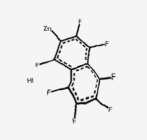 Fc1c(F)c(F)c2c(F)[c]([Zn])c(F)c(F)c2c1F.I